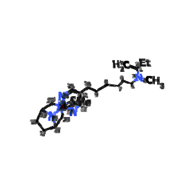 C=C(CC)N(C)CCCCCCc1cnc(N2C3CCC2CN(SC)C3)nc1